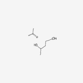 CC(C)=O.CC(O)CCO